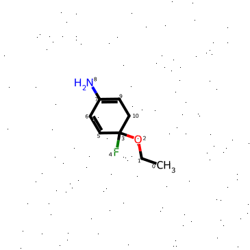 CCOC1(F)C=CC(N)=CC1